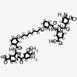 COc1cc(C(=O)c2nc(NC(=O)c3cccc(OCCCCCCCCOc4cccc(C(=O)Nc5nc(C(=O)c6ccc(N)c(OC)c6)n6ccc(C(=O)O)cc56)c4)c3)c3cc(C(=O)O)ccn23)ccc1N